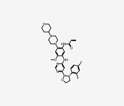 C=CC(=O)Nc1cc(Nc2cc(N3OCC[C@@H]3c3ccc(F)cc3F)ncn2)c(OC)cc1N1CCN(C2CCOCC2)CC1